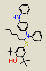 CCCCCC(Sc1cc(C(C)(C)C)c(O)c(C(C)(C)C)c1)N(c1ccccc1)c1ccc(Nc2ccccc2)cc1